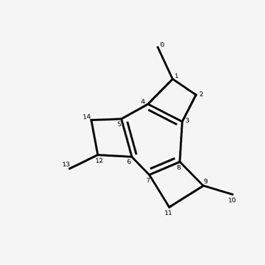 CC1Cc2c1c1c(c3c2C(C)C3)C(C)C1